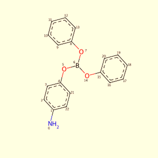 Nc1ccc(OB(Oc2ccccc2)Oc2ccccc2)cc1